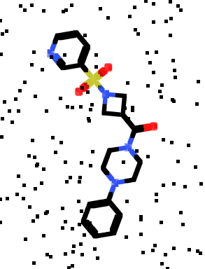 O=C(C1CN(S(=O)(=O)c2cccnc2)C1)N1CCN(c2ccccc2)CC1